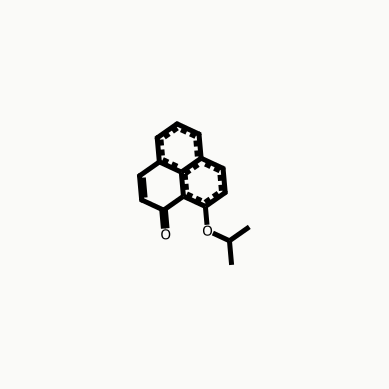 CC(C)Oc1ccc2cccc3c2c1C(=O)C=C3